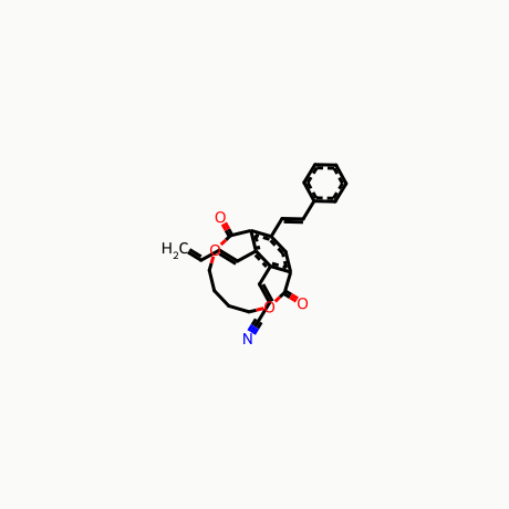 C=CC=Cc1c(C=CC#N)c2cc(C=Cc3ccccc3)c1C(=O)OCCCCOC2=O